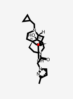 Cc1ccn(CC(=O)N2CC[C@]34CCN(CC5CC5)[C@H](Cc5ccc(O)cc53)[C@]4(O)CC2)n1